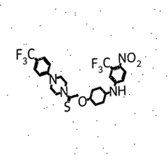 O=[N+]([O-])c1ccc(NC2CCC(OCC(=S)N3CCN(c4ccc(C(F)(F)F)cc4)CC3)CC2)cc1C(F)(F)F